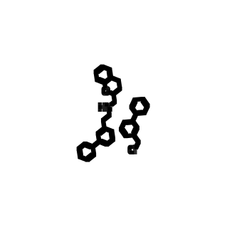 ClCc1cccc(-c2ccccc2)c1.c1ccc(-c2cccc(CCNCC3CCc4ccccc4O3)c2)cc1